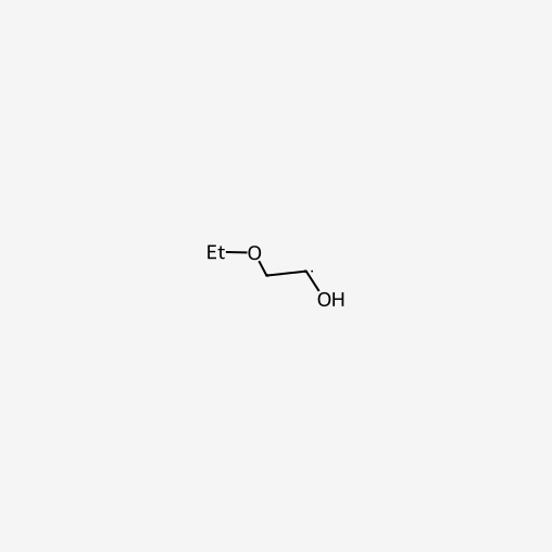 [CH2]COC[CH]O